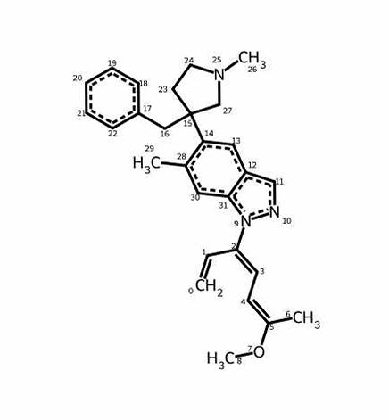 C=C/C(=C\C=C(/C)OC)n1ncc2cc(C3(Cc4ccccc4)CCN(C)C3)c(C)cc21